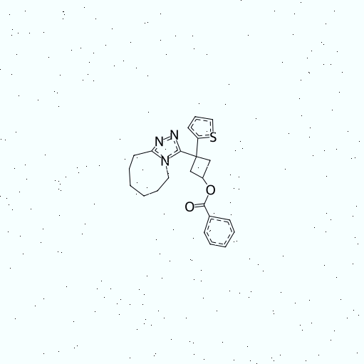 O=C(OC1CC(c2cccs2)(c2nnc3n2CCCCCC3)C1)c1ccccc1